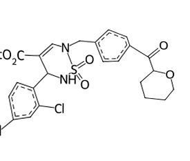 CCOC(=O)C1=CN(Cc2ccc(C(=O)C3CCCCO3)cc2)S(=O)(=O)NC1c1ccc(Cl)cc1Cl